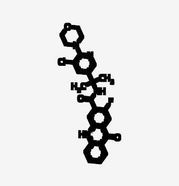 CC(C)(NC(=O)c1cc2[nH]c3ccccc3c(=O)c2cc1F)c1cnc(N2CCOCC2)c(Cl)c1